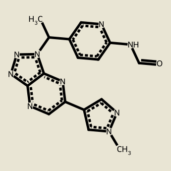 CC(c1ccc(NC=O)nc1)n1nnc2ncc(-c3cnn(C)c3)nc21